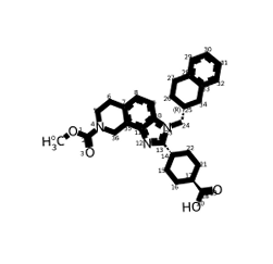 COC(=O)N1CCc2ccc3c(nc([C@H]4CC[C@H](C(=O)O)CC4)n3C[C@@H]3CCc4ccccc4C3)c2C1